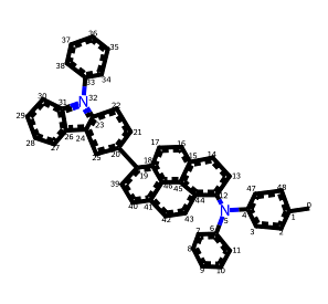 Cc1ccc(N(c2ccccc2)c2ccc3ccc4c(-c5ccc6c(c5)c5ccccc5n6-c5ccccc5)ccc5ccc2c3c54)cc1